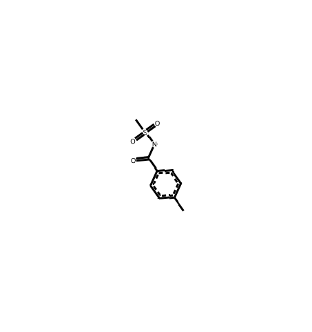 Cc1ccc(C(=O)[N]S(C)(=O)=O)cc1